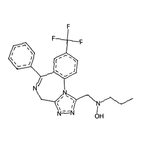 CCCN(O)Cc1nnc2n1-c1ccc(C(F)(F)F)cc1C(c1ccccc1)=NC2